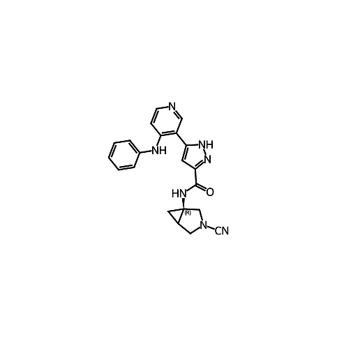 N#CN1CC2C[C@]2(NC(=O)c2cc(-c3cnccc3Nc3ccccc3)[nH]n2)C1